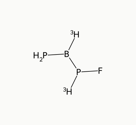 [3H]B(P)P([3H])F